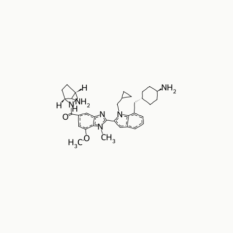 COc1cc(C(=O)N2C[C@H]3CC[C@@H]2[C@@H]3N)cc2nc(-c3cc4cccc(C[C@H]5CC[C@H](N)CC5)c4n3CC3CC3)n(C)c12